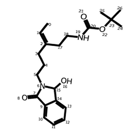 C/C=C(/CCCN1C(=O)c2ccccc2C1O)CCNC(=O)OC(C)(C)C